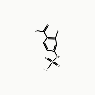 CS(=O)(=O)Nc1ccc(C(=O)Cl)c(Cl)c1